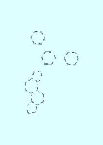 c1ccc(-c2cc(-c3cc4ccc5c(ccc6ccsc65)c4s3)cc(-c3ccccc3)n2)cc1